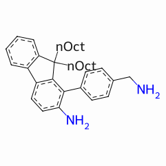 CCCCCCCCC1(CCCCCCCC)c2ccccc2-c2ccc(N)c(-c3ccc(CN)cc3)c21